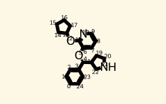 c1ccc([C@@H](Oc2cccnc2OC2CCCC2)C2CCNC2)cc1